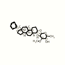 CO[C@H]1[C@H](O)[C@H](O[C@H]2CC[C@@]3(C)[C@H](CC[C@@H]4[C@@H]3CC[C@]3(C)[C@@H](c5ccccc5)CC[C@]43O)C2)O[C@@H](C)[C@@H]1O